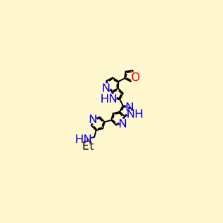 CCNCc1cncc(-c2cnc3[nH]nc(-c4cc5c(-c6ccoc6)ccnc5[nH]4)c3c2)c1